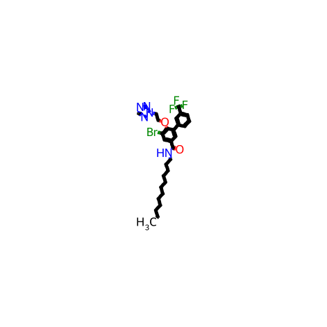 CCCCCCCCCCCCNC(=O)c1cc(Br)c(OCCn2ncnn2)c(-c2cccc(C(F)(F)F)c2)c1